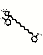 NC1=NCCCN1CCCCCCCCCCCC(CC(=O)O)(CC(=O)O)N1CCCN=C1N